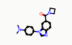 CN(C)c1ccc(-n2cnc3ccc(C(=O)N4CCC4)cc32)cc1